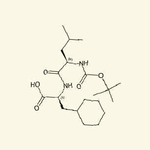 CC(C)C[C@@H](NC(=O)OC(C)(C)C)C(=O)N[C@@H](CC1CCCCC1)C(=O)O